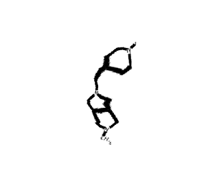 CN1CC2CN(CC3CCN(I)CC3)CC2C1